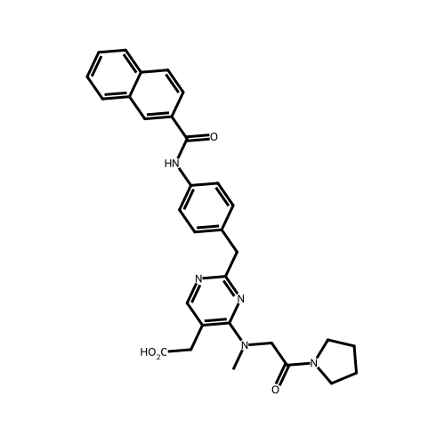 CN(CC(=O)N1CCCC1)c1nc(Cc2ccc(NC(=O)c3ccc4ccccc4c3)cc2)ncc1CC(=O)O